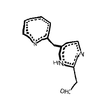 O=CCc1ncc(-c2ccccn2)[nH]1